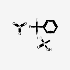 CP(=O)(O)O.FC(F)(F)c1ccccc1.O=S(=O)=O